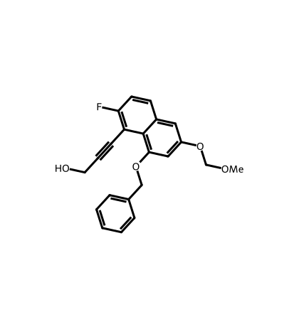 COCOc1cc(OCc2ccccc2)c2c(C#CCO)c(F)ccc2c1